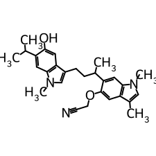 Cc1cn(C)c2cc(C(C)CCc3cn(C)c4cc(C(C)C)c(O)cc34)c(OCC#N)cc12